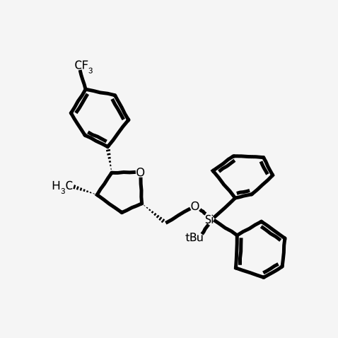 C[C@H]1C[C@@H](CO[Si](c2ccccc2)(c2ccccc2)C(C)(C)C)O[C@H]1c1ccc(C(F)(F)F)cc1